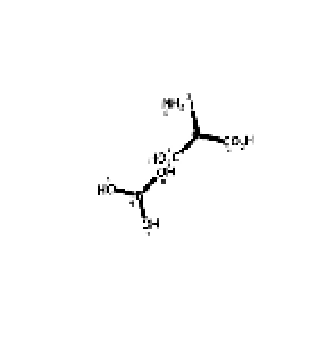 N.O=C(O)C(I)C(=O)O.OB(O)O